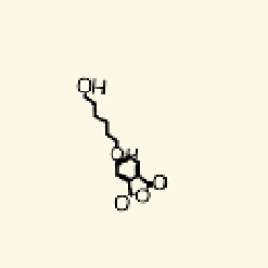 O=C1OC(=O)c2ccccc21.OCCCCCCO